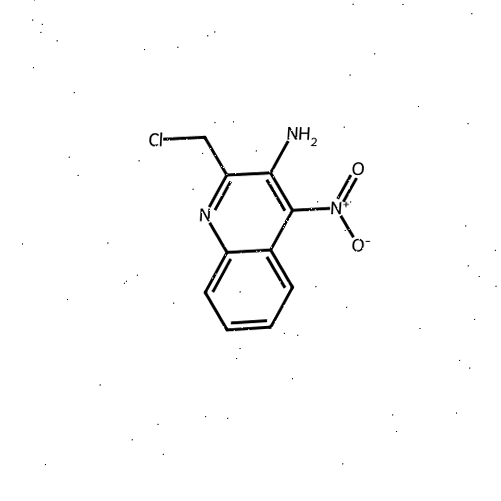 Nc1c(CCl)nc2ccccc2c1[N+](=O)[O-]